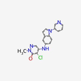 Cn1ncc(Nc2ccc3c(ccn3-c3cccnc3)c2)c(Cl)c1=O